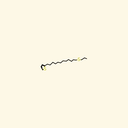 CCCSCCCCCCCCCCCCc1cccs1